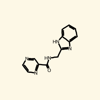 O=C(NCc1nc2ccccc2[nH]1)c1cnccn1